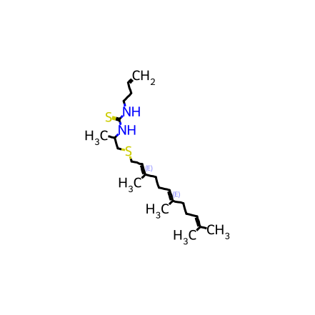 C=CCCNC(=S)NC(C)CSC/C=C(\C)CC/C=C(\C)CCC=C(C)C